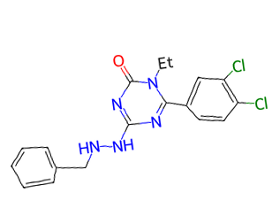 CCn1c(-c2ccc(Cl)c(Cl)c2)nc(NNCc2ccccc2)nc1=O